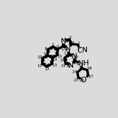 N#CCc1cnc(-c2ccc3ccccc3c2)n1-c1ccnc(NC2CCOCC2)n1